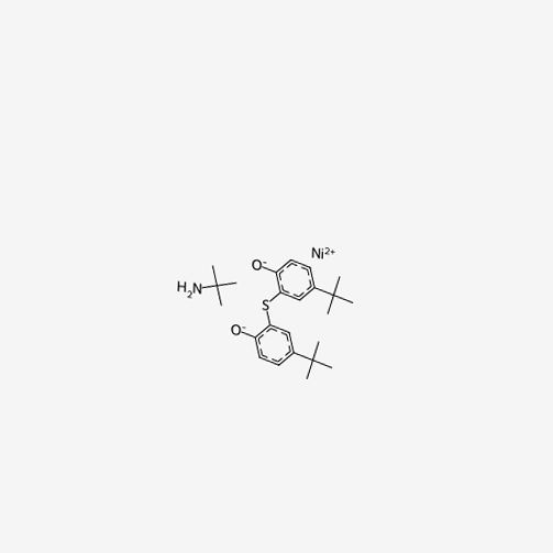 CC(C)(C)N.CC(C)(C)c1ccc([O-])c(Sc2cc(C(C)(C)C)ccc2[O-])c1.[Ni+2]